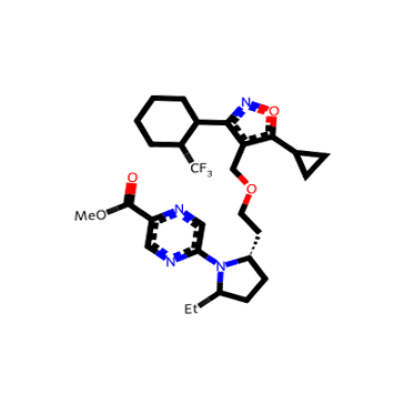 CCC1CC[C@@H](CCOCc2c(C3CCCCC3C(F)(F)F)noc2C2CC2)N1c1cnc(C(=O)OC)cn1